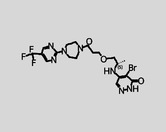 C[C@@H](COCCC(=O)N1CCN(c2ncc(C(F)(F)F)cn2)CC1)Nc1cn[nH]c(=O)c1Br